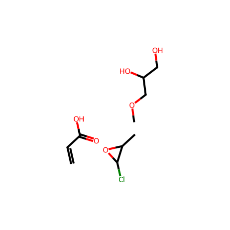 C=CC(=O)O.CC1OC1Cl.COCC(O)CO